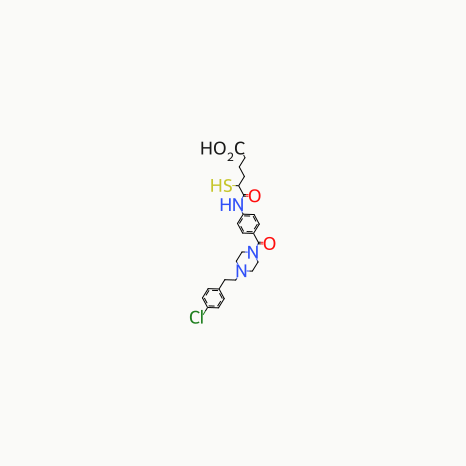 O=C(O)CCCC(S)C(=O)Nc1ccc(C(=O)N2CCN(CCc3ccc(Cl)cc3)CC2)cc1